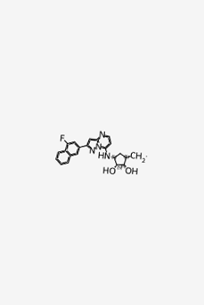 [CH2][C@@H]1C[C@@H](Nc2ccnc3cc(-c4cc(F)c5ccccc5c4)nn23)[C@H](O)[C@@H]1O